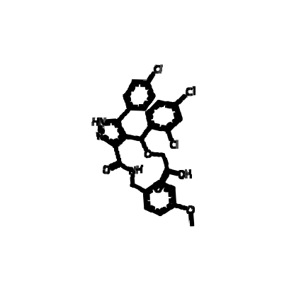 COc1ccc(CNC(=O)c2n[nH]c(-c3ccc(Cl)cc3)c2C(OCC(=O)O)c2ccc(Cl)cc2Cl)cc1